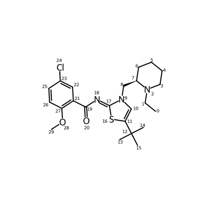 CCN1CCCC[C@@H]1Cn1cc(C(C)(C)C)sc1=NC(=O)c1cc(Cl)ccc1OC